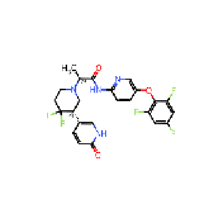 C[C@@H](C(=O)Nc1ccc(Oc2c(F)cc(F)cc2F)cn1)N1CCC(F)(F)[C@@H](c2ccc(=O)[nH]c2)C1